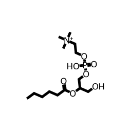 CCCCCC(=O)OC(CO)COP(=O)(O)OCC[N+](C)(C)C